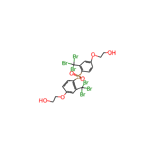 O=S(=O)(c1ccc(OCCO)cc1C(Br)(Br)Br)c1ccc(OCCO)cc1C(Br)(Br)Br